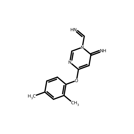 Cc1ccc(Oc2cc(=N)n(C=N)cn2)c(C)c1